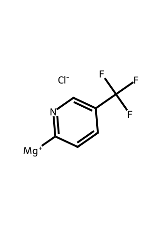 FC(F)(F)c1cc[c]([Mg+])nc1.[Cl-]